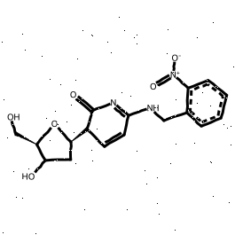 O=C1N=C(NCc2ccccc2[N+](=O)[O-])C=CC1[C@H]1CC(O)[C@@H](CO)O1